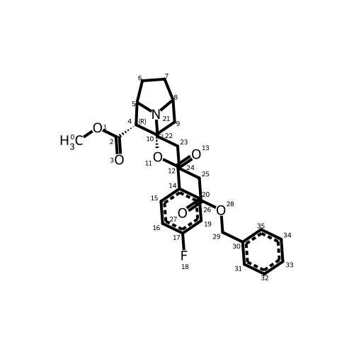 COC(=O)[C@@H]1C2CCC(C[C@@H]1OC(=O)c1ccc(F)cc1)N2CCCCC(=O)OCc1ccccc1